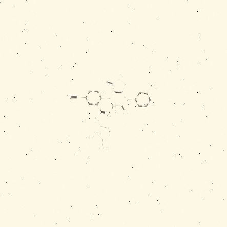 CN1C(=O)N(c2cccc(C(F)(F)F)c2)C2=C(C(=O)CC2)C1c1ccc(C#N)cc1C(=O)NC1CCC(O)C1